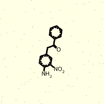 Nc1ccc(CC(=O)c2ccccc2)cc1[N+](=O)[O-]